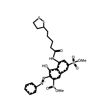 COS(=O)c1cc2cc(S(=O)(=O)OC)cc(NC(=O)CCCCC3CCSS3)c2c(O)c1/N=N/c1ccccc1